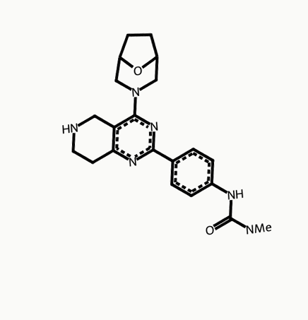 CNC(=O)Nc1ccc(-c2nc3c(c(N4CC5CCC(C4)O5)n2)CNCC3)cc1